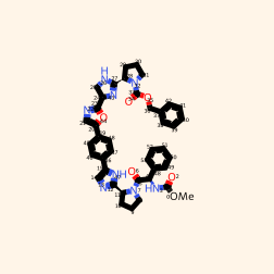 COC(=O)N[C@@H](C(=O)N1CCC[C@H]1c1ncc(-c2ccc(-c3cnc(C4CNC([C@@H]5CCCN5C(=O)OCc5ccccc5)=N4)o3)cc2)[nH]1)c1ccccc1